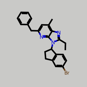 CCc1nc2c(C)cc(Cc3ccccc3)nc2n1C1CCc2cc(Br)ccc21